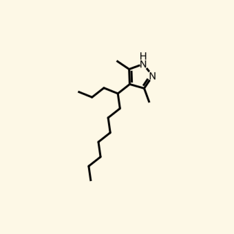 CCCCCCCC(CCC)c1c(C)n[nH]c1C